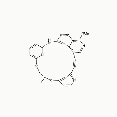 CNc1ncc2c3cc(ncc13)Nc1cccc(n1)OCC(C)Oc1ccnc(c1)C#C2